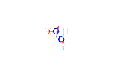 O=C(O)c1cc(=O)[nH]c(-c2ncc(OC(F)F)cc2F)n1